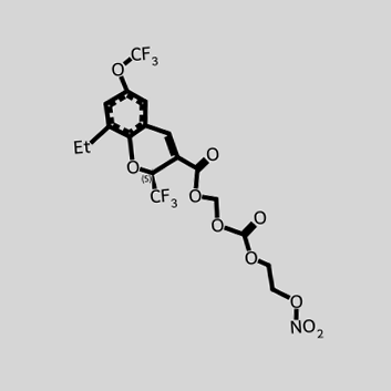 CCc1cc(OC(F)(F)F)cc2c1O[C@H](C(F)(F)F)C(C(=O)OCOC(=O)OCCO[N+](=O)[O-])=C2